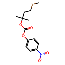 CSCCC(C)(C)OC(=O)Oc1ccc([N+](=O)[O-])cc1